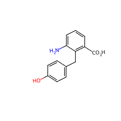 Nc1cccc(C(=O)O)c1Cc1ccc(O)cc1